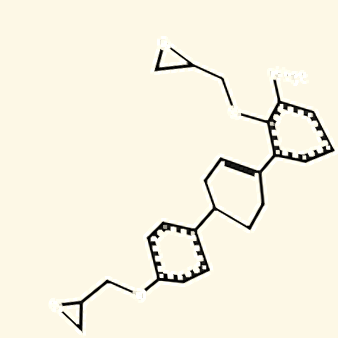 CCCCCCCc1cccc(C2=CCC(c3ccc(OCC4CO4)cc3)CC2)c1OCC1CO1